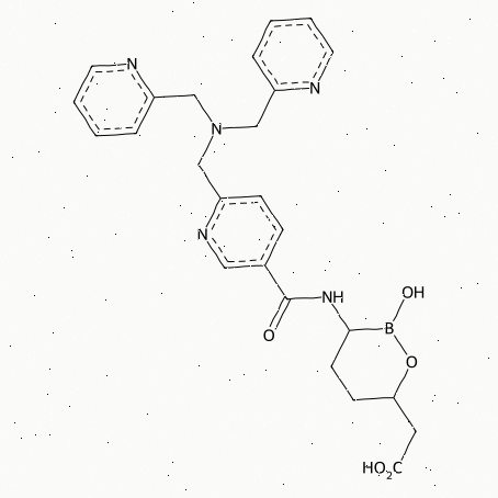 O=C(O)CC1CCC(NC(=O)c2ccc(CN(Cc3ccccn3)Cc3ccccn3)nc2)B(O)O1